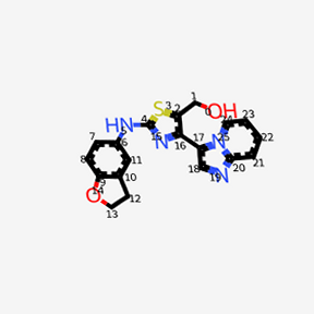 OCc1sc(Nc2ccc3c(c2)CCO3)nc1-c1cnc2ccccn12